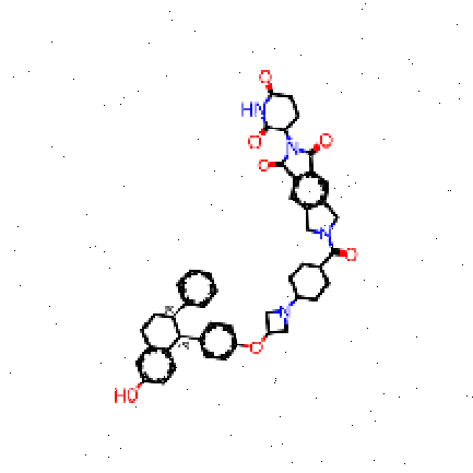 O=C1CCC(N2C(=O)c3cc4c(cc3C2=O)CN(C(=O)C2CCC(N3CC(Oc5ccc([C@H]6c7ccc(O)cc7CC[C@H]6c6ccccc6)cc5)C3)CC2)C4)C(=O)N1